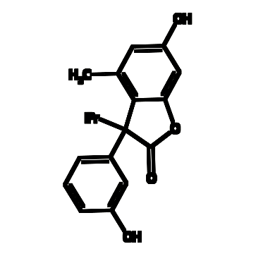 Cc1cc(O)cc2c1C(c1cccc(O)c1)(C(C)C)C(=O)O2